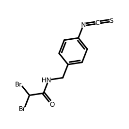 O=C(NCc1ccc(N=C=S)cc1)C(Br)Br